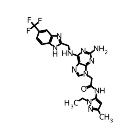 CCn1nc(C)cc1NC(=O)Cn1cnc2c(NCc3nc4cc(C(F)(F)F)ccc4[nH]3)nc(N)nc21